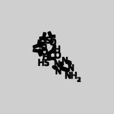 CC(C)[Si]1(C(C)C)OC[C@H]2O[C@@H](n3cnc4c(N)ncnc43)C(S)[C@H]2O[Si](C(C)C)(C(C)C)O1